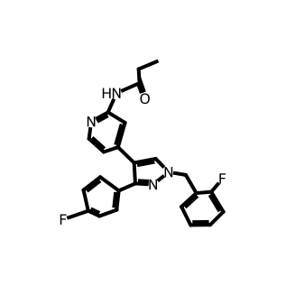 CCC(=O)Nc1cc(-c2cn(Cc3ccccc3F)nc2-c2ccc(F)cc2)ccn1